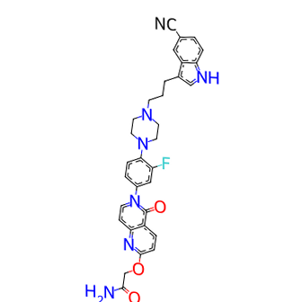 N#Cc1ccc2[nH]cc(CCCN3CCN(c4ccc(-n5ccc6nc(OCC(N)=O)ccc6c5=O)cc4F)CC3)c2c1